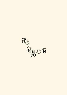 Cc1oc(-c2ccc(-n3cccn3)cc2)nc1CN1CC=C(c2cccc(OC(F)(F)F)c2)CC1